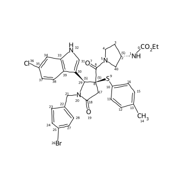 CCOC(=O)N[C@H]1CCN(C(=O)[C@]2(Sc3ccc(C)cc3)CC(=O)N(Cc3ccc(Br)cc3)[C@H]2c2c[nH]c3cc(Cl)ccc23)C1